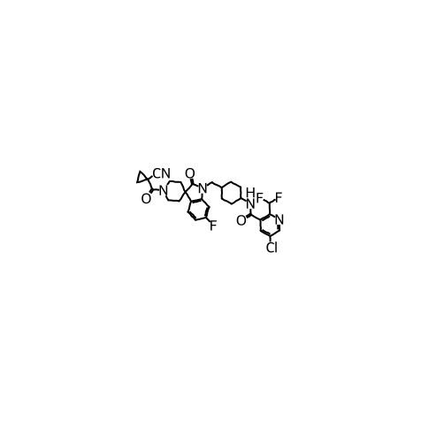 N#CC1(C(=O)N2CCC3(CC2)C(=O)N(CC2CCC(NC(=O)c4cc(Cl)cnc4C(F)F)CC2)c2cc(F)ccc23)CC1